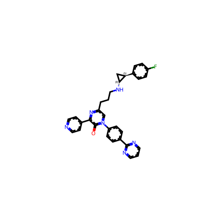 O=c1c(-c2ccncc2)nc(CCCN[C@@H]2C[C@H]2c2ccc(F)cc2)cn1-c1ccc(-c2ncccn2)cc1